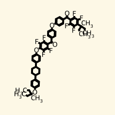 CCC(C)(CC)Oc1ccc(C2CCC(c3ccc(Oc4c(F)c(F)c(C(=O)c5ccc(Oc6ccc(C(=O)c7c(F)c(F)c(C(C)(CC)CC)c(F)c7F)cc6)cc5)c(F)c4F)cc3)CC2)cc1